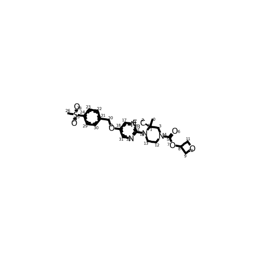 C[C@]1(C(F)(F)F)CN(C(=O)OC2COC2)CCN1c1ncc(OCc2ccc(S(C)(=O)=O)cc2)cn1